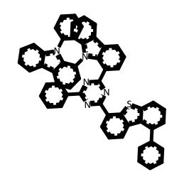 c1ccc(-c2nc(-c3cccc4c3sc3cccc(-c5ccccc5)c34)nc(-c3cccc4c5ccccc5n(-c5cccc6c7ccccc7n(-c7ccccc7)c56)c34)n2)cc1